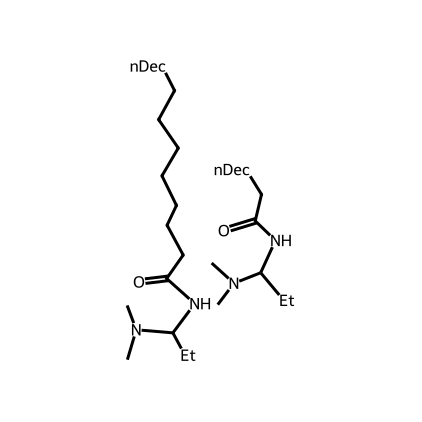 CCCCCCCCCCCC(=O)NC(CC)N(C)C.CCCCCCCCCCCCCCCCCC(=O)NC(CC)N(C)C